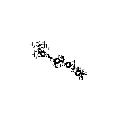 CC1(NC(=O)OC(C)(C)C)CCN(CCCOc2cc3nccc(Oc4ccc(NC(=O)Nc5ccc(Cl)c(C(F)(F)F)c5)cc4)c3c3c2OCCO3)CC1